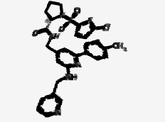 Cc1ccc(-c2cc(CNC(=O)[C@@H]3CCCN3S(=O)(=O)c3ccc(Cl)s3)cc(NCc3cccnc3)n2)cc1